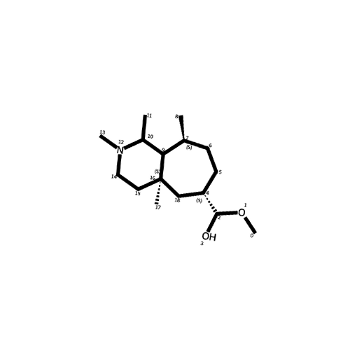 COC(O)[C@H]1CC[C@H](C)C2C(C)N(C)CC[C@]2(C)C1